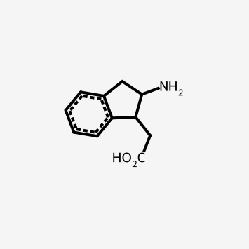 NC1Cc2ccccc2C1CC(=O)O